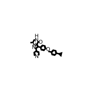 CC1CNC(=O)c2c(-c3ccc(OCc4ccc(C5CC5)cc4)cc3)c(-c3ccncc3)nn21